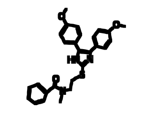 COc1ccc(-c2nc(SCCN(C)C(=O)c3ccccc3)[nH]c2-c2ccc(OC)cc2)cc1